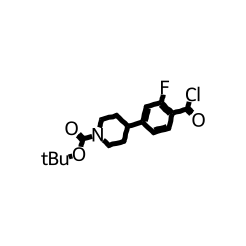 CC(C)(C)OC(=O)N1CCC(c2ccc(C(=O)Cl)c(F)c2)CC1